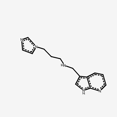 c1cnc2[nH]cc(CNCCCn3ccnc3)c2c1